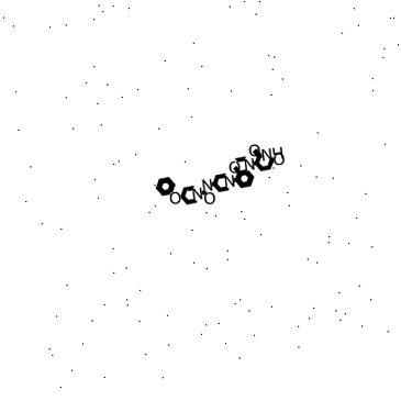 CN(C(=O)N1CCC(Oc2ccccc2)CC1)C1CCN(c2cccc3c2OCCN3C2CCC(=O)NC2=O)CC1